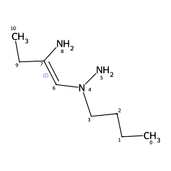 CCCCN(N)/C=C(\N)CC